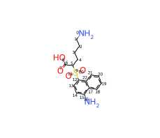 NCCCCC(C(=O)O)S(=O)(=O)c1ccc(N)c2ccccc12